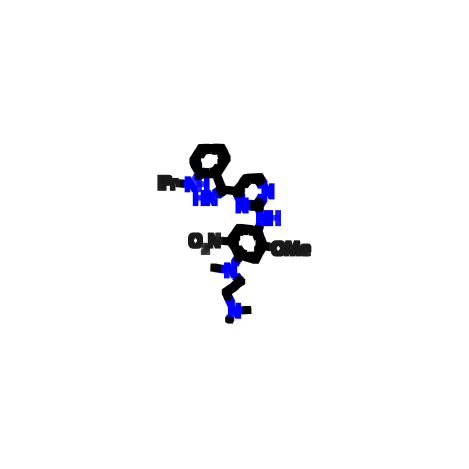 COc1cc(N(C)CCN(C)C)c([N+](=O)[O-])cc1Nc1nccc(C(=N)c2ccccc2NC(C)C)n1